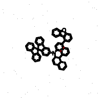 C1=CCC2C(=C1)C=CC(N(c1ccc(-c3cccc4oc5ccccc5c34)cc1)c1ccc3c(c1)-c1ccccc1C31c3ccccc3-c3ccccc31)C2c1ccccc1